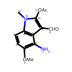 COc1ccc2c(c1N)c(C=O)c(OC(C)=O)n2C